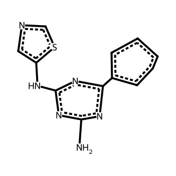 Nc1nc(Nc2cncs2)nc(-c2ccccc2)n1